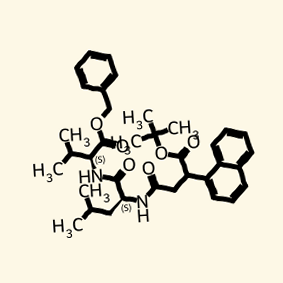 CC(C)C[C@H](NC(=O)CC(C(=O)OC(C)(C)C)c1cccc2ccccc12)C(=O)N[C@H](C(=O)OCc1ccccc1)C(C)C